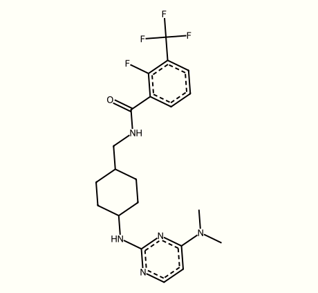 CN(C)c1ccnc(NC2CCC(CNC(=O)c3cccc(C(F)(F)F)c3F)CC2)n1